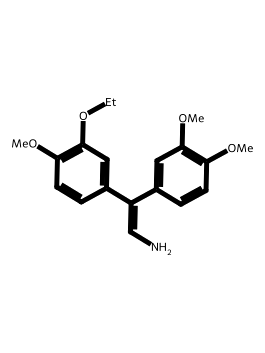 CCOc1cc(C(=CN)c2ccc(OC)c(OC)c2)ccc1OC